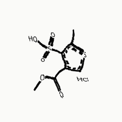 COC(=O)c1csc(C)c1S(=O)(=O)O.Cl